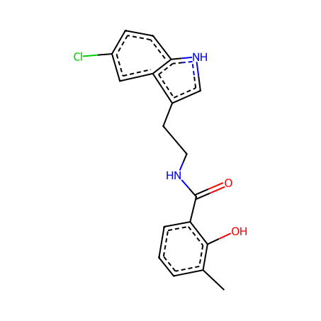 Cc1cccc(C(=O)NCCc2c[nH]c3ccc(Cl)cc23)c1O